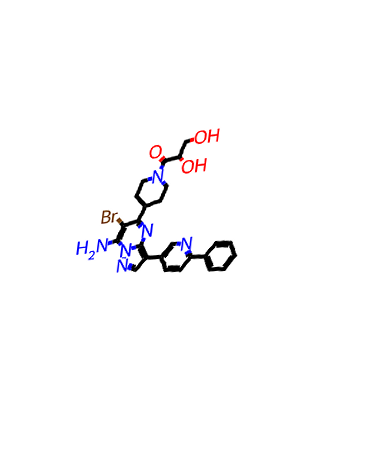 Nc1c(Br)c(C2CCN(C(=O)C(O)CO)CC2)nc2c(-c3ccc(-c4ccccc4)nc3)cnn12